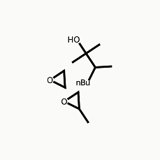 C1CO1.CC1CO1.CCCCC(C)C(C)(C)O